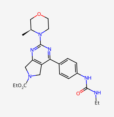 CCNC(=O)Nc1ccc(-c2nc(N3CCOC[C@@H]3C)nc3c2CN(C(=O)OCC)C3)cc1